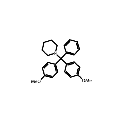 COc1ccc(C(c2ccccc2)(c2ccc(OC)cc2)N2CCCCC2)cc1